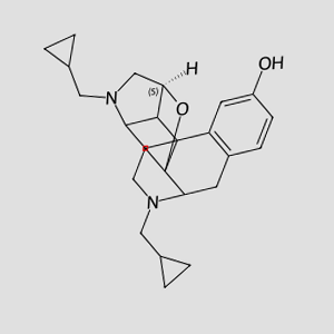 Oc1ccc2c(c1)C13CCN(CC4CC4)C(C2)C12CCC1C3[C@@H](CN1CC1CC1)O2